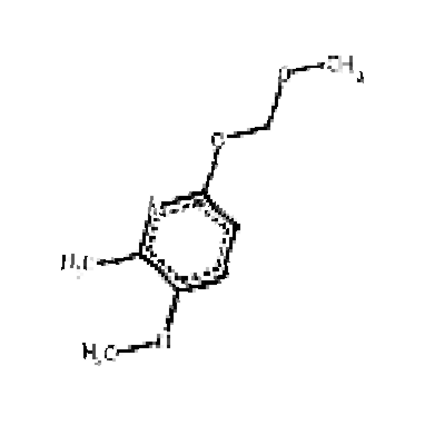 COCOc1ccc(OC)c(C)n1